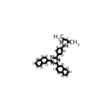 Cc1cc(C)nc(-c2ccc(-c3nc(-c4ccc5ccccc5c4)nc(-c4ccc5ccccc5c4)n3)cc2)n1